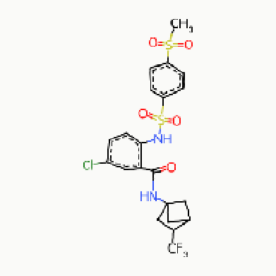 CS(=O)(=O)c1ccc(S(=O)(=O)Nc2ccc(Cl)cc2C(=O)NC23CC(C2)C(C(F)(F)F)C3)cc1